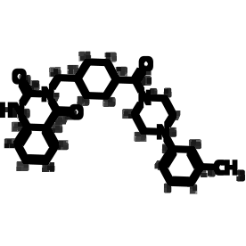 Cc1cccc(N2CCN(C(=O)C3CCC(Cn4c(=O)[nH]c5ccccc5c4=O)CC3)CC2)c1